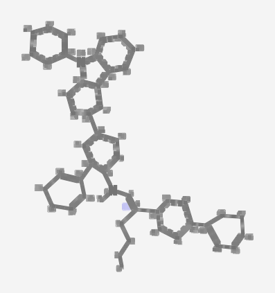 CCCC/C(=C\N(C)c1ccc(-c2ccc3c(c2)c2ccccc2n3-c2ccccc2)cc1C1=CCCC=C1)c1ccc(C2=CC=CCC2)cc1